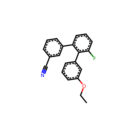 CCOc1cccc(-c2c(F)cccc2-c2cccc(C#N)c2)c1